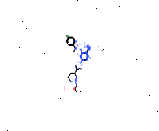 CC(O)CN1CCCC(C2CN(c3cnc(C(=N)C#N)c(NC(C)c4ccc(Cl)cc4Cl)n3)C2)C1